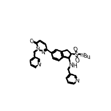 CCCCS(=O)(=O)C1Cc2cc(-c3ccc(=O)n(Cc4cccnc4)n3)ccc2C1NCc1cccnc1